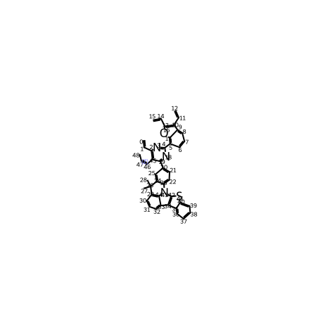 C=Cc1nc(-c2cccc3c(C=C)c(C=C)oc23)nc(-c2ccc3c(c2)C(C)(C)c2cccc4c5c6ccccc6sc5n-3c24)c1/C=C\C